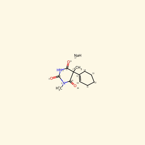 CN1C(=O)NC(=O)C(C)(C2=CCCCC2)C1=O.[NaH]